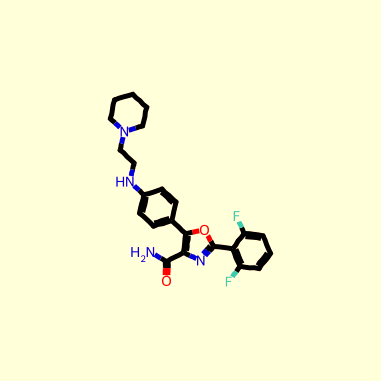 NC(=O)c1nc(-c2c(F)cccc2F)oc1-c1ccc(NCCN2CCCCC2)cc1